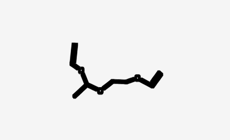 C=COCCOC(C)OC=C